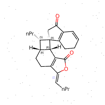 CCC/C=C1\OC(=O)C2=C1CC[C@H]1[C@@H]2[C@@]2(CC(=O)C3=C2CCC=C3)[C@H]1CCC